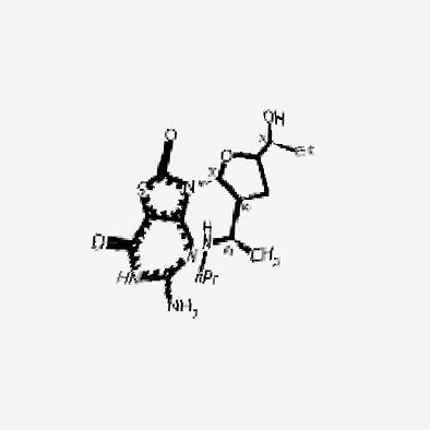 CCCN[C@H](C)[C@@H]1CC([C@@H](O)CC)O[C@H]1n1c(=O)sc2c(=O)[nH]c(N)nc21